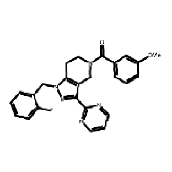 COc1cccc(C(=O)N2CCc3c(c(-c4ncccn4)nn3Cc3ccccc3F)C2)c1